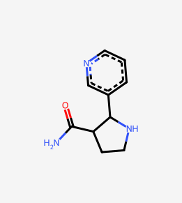 NC(=O)C1CCNC1c1cccnc1